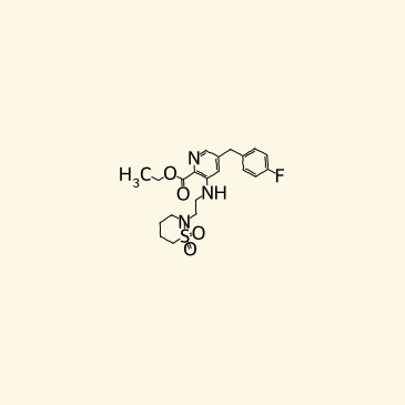 CCOC(=O)c1ncc(Cc2ccc(F)cc2)cc1NCCN1CCCCS1(=O)=O